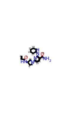 C=CC(=O)NC1CCN(c2ccc(C(N)=O)c(NC3CCCCC3)n2)C1